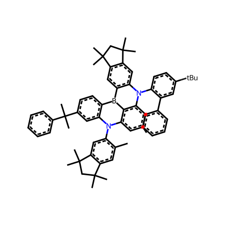 Cc1cc2c3c(c1)N(c1ccc(C(C)(C)C)cc1-c1ccccc1)c1cc4c(cc1B3c1ccc(C(C)(C)c3ccccc3)cc1N2c1cc2c(cc1C)C(C)(C)CC2(C)C)C(C)(C)CC4(C)C